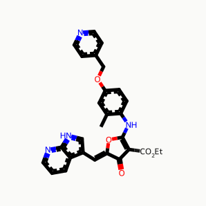 CCOC(=O)C1=C(Nc2ccc(OCc3ccncc3)cc2C)OC(=Cc2c[nH]c3ncccc23)C1=O